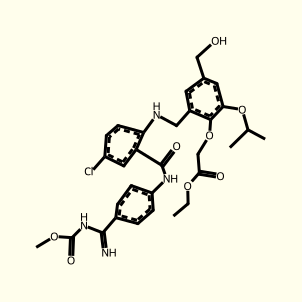 CCOC(=O)COc1c(CNc2ccc(Cl)cc2C(=O)Nc2ccc(C(=N)NC(=O)OC)cc2)cc(CO)cc1OC(C)C